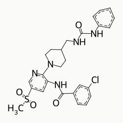 CS(=O)(=O)c1cnc(N2CCC(CNC(=O)Nc3ccccc3)CC2)c(NC(=O)c2cccc(Cl)c2)c1